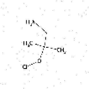 CC(C)(CN)OCl